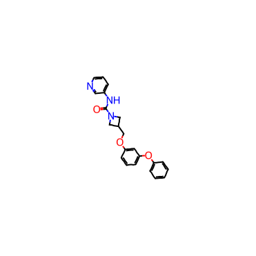 O=C(Nc1cccnc1)N1CC(COc2cccc(Oc3ccccc3)c2)C1